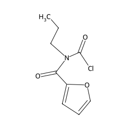 CCCN(C(=O)Cl)C(=O)c1ccco1